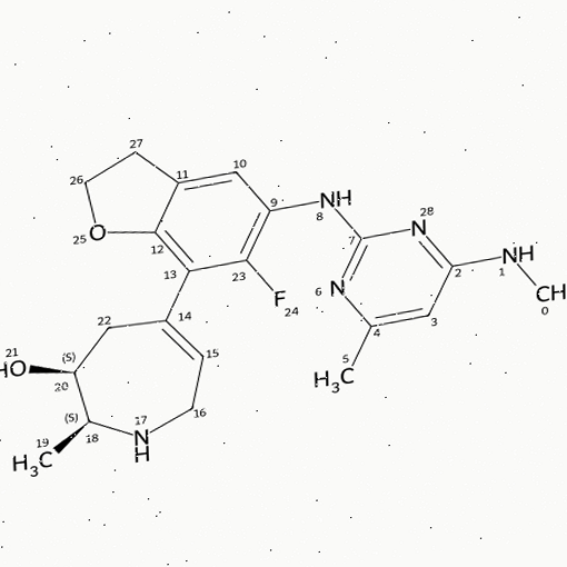 CNc1cc(C)nc(Nc2cc3c(c(C4=CCN[C@@H](C)[C@@H](O)C4)c2F)OCC3)n1